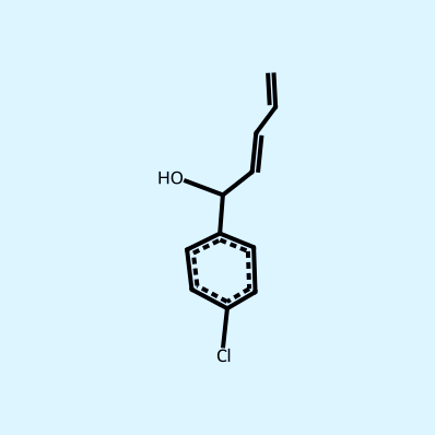 C=CC=CC(O)c1ccc(Cl)cc1